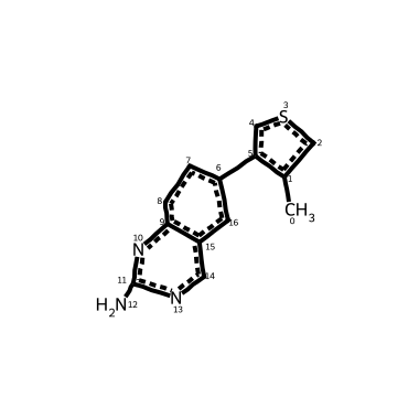 Cc1cscc1-c1ccc2nc(N)ncc2c1